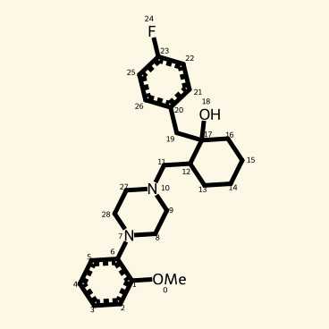 COc1ccccc1N1CCN(CC2CCCCC2(O)Cc2ccc(F)cc2)CC1